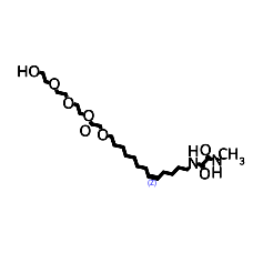 CNC(=O)C(=O)NCCCC/C=C\CCCCCCCOCC(=O)OCCOCCOCCO